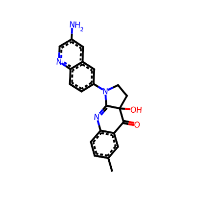 Cc1ccc2c(c1)C(=O)C1(O)CCN(c3ccc4ncc(N)cc4c3)C1=N2